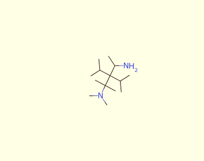 CC(C)C(C(C)C)(C(C)N)C(C)(C)N(C)C